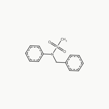 CS(=O)(=O)N([CH]c1ccccc1)c1ccccc1